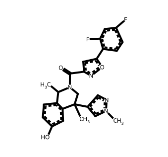 CC1c2ccc(O)cc2C(C)(c2cnn(C)c2)CN1C(=O)c1cc(-c2ccc(F)cc2F)on1